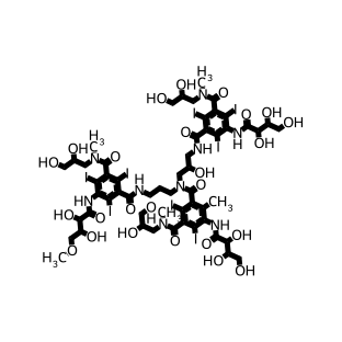 COCC(O)C(O)C(=O)Nc1c(I)c(C(=O)NCCCN(CC(O)CNC(=O)c2c(I)c(NC(=O)C(O)C(O)CO)c(I)c(C(=O)N(C)CC(O)CO)c2I)C(=O)c2c(C)c(NC(=O)C(O)C(O)CO)c(I)c(C(=O)N(C)CC(O)CO)c2I)c(I)c(C(=O)N(C)CC(O)CO)c1I